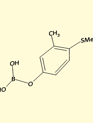 CSc1ccc(OB(O)O)cc1C